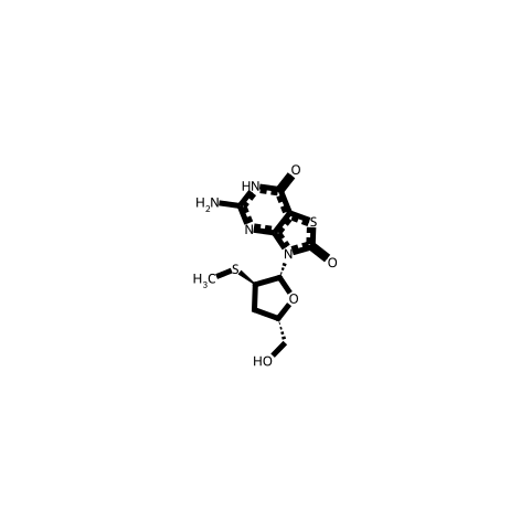 CS[C@@H]1C[C@@H](CO)O[C@H]1n1c(=O)sc2c(=O)[nH]c(N)nc21